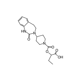 CCC(OC(=O)N1CCC(N2CCc3ccccc3NC2=O)CC1)C(=O)O